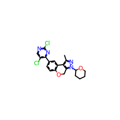 Cc1nn(C2CCCCO2)c2c1-c1cc(-c3nc(Cl)ncc3Cl)ccc1OC2